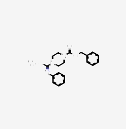 CS/C(=N/c1ccccc1)N1CCN(C(=O)OCc2ccccc2)CC1